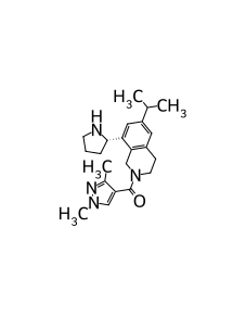 Cc1nn(C)cc1C(=O)N1CCc2cc(C(C)C)cc([C@@H]3CCCN3)c2C1